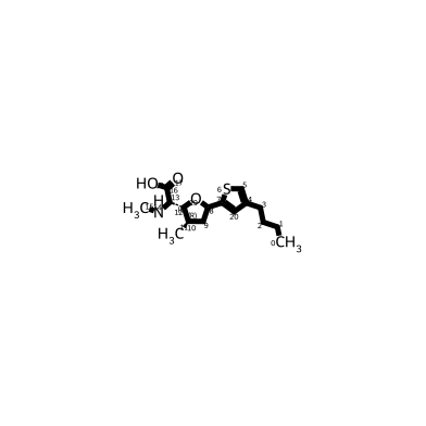 CCCCc1csc(C2C[C@@H](C)[C@H](C(NC)C(=O)O)O2)c1